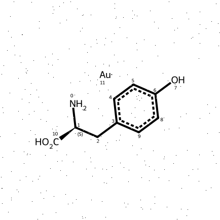 N[C@@H](Cc1ccc(O)cc1)C(=O)O.[Au]